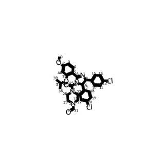 COc1ccc(C2=NC(c3ccc(Cl)cc3)C(c3ccc(Cl)cc3)N2C(=O)N2CCN(C=O)CC2)c(OC(C)C)c1